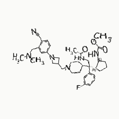 COC(=O)N[C@H]1CCC[C@@H]1C(CNC(C)=O)(c1cccc(F)c1)C1CCN(CC2CN(c3ccc(C#N)c(CN(C)C)c3)C2)CC1